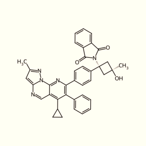 Cc1cc2ncc3c(C4CC4)c(-c4ccccc4)c(-c4ccc([C@]5(N6C(=O)c7ccccc7C6=O)C[C@](C)(O)C5)cc4)nc3n2n1